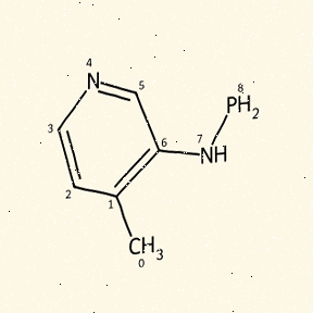 Cc1ccncc1NP